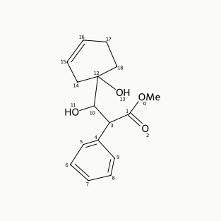 COC(=O)C(c1ccccc1)C(O)C1(O)CC=CCC1